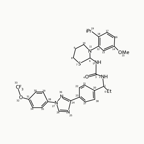 CCC(NC(=O)NC1SCCCN1c1cc(OC)ccc1C(C)C)c1ccc(-c2ncn(-c3ccc(OC(F)(F)F)cc3)n2)cc1